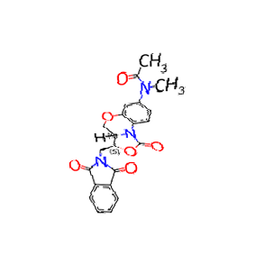 CC(=O)N(C)c1ccc2c(c1)OC[C@H]1[C@H](CN3C(=O)c4ccccc4C3=O)OC(=O)N21